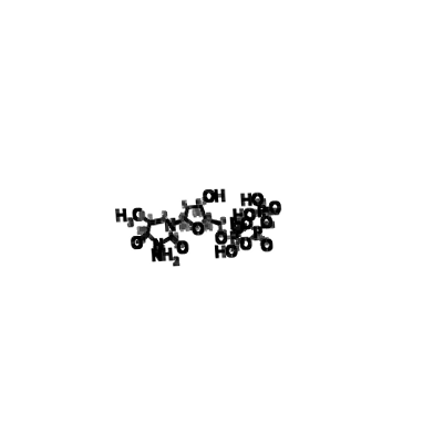 Cc1cn([C@H]2C[C@H](O)[C@@H](COP(=O)(O)OP(=O)(O)OP(=O)(O)O)O2)c(=O)n(N)c1=O